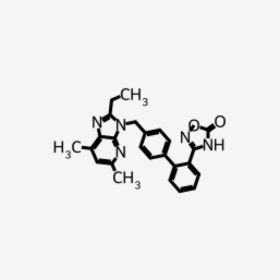 CCc1nc2c(C)cc(C)nc2n1Cc1ccc(-c2ccccc2-c2noc(=O)[nH]2)cc1